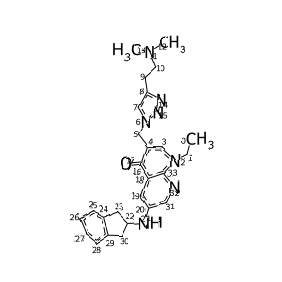 CCn1cc(Cn2cc(CCN(C)C)nn2)c(=O)c2cc(NC3Cc4ccccc4C3)cnc21